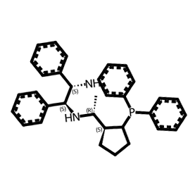 C[C@@H](N[C@@H](c1ccccc1)[C@@H](N)c1ccccc1)[C@@H]1CCCC1P(c1ccccc1)c1ccccc1